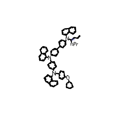 C=C/C=C(\CCC)N(c1ccc(-c2ccc(N(c3ccc(N(c4ccc(Oc5ccccc5)cc4)c4cccc5ccccc45)cc3)c3cccc4ccccc34)cc2)cc1)c1cccc2ccccc12